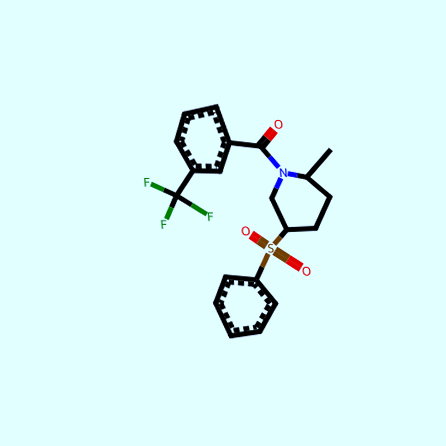 CC1CCC(S(=O)(=O)c2ccccc2)CN1C(=O)c1cccc(C(F)(F)F)c1